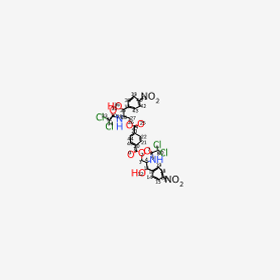 O=C(OCC(NC(=O)C(Cl)Cl)C(O)c1ccc([N+](=O)[O-])cc1)c1ccc(C(=O)OCC(NC(=O)C(Cl)Cl)C(O)c2ccc([N+](=O)[O-])cc2)cc1